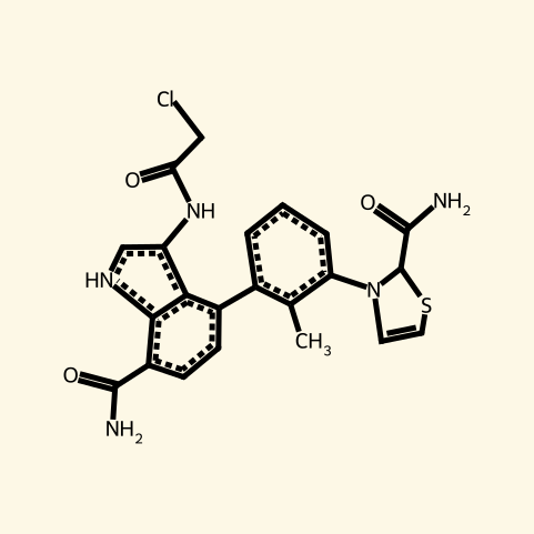 Cc1c(-c2ccc(C(N)=O)c3[nH]cc(NC(=O)CCl)c23)cccc1N1C=CSC1C(N)=O